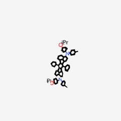 Cc1ccc(N(c2ccc(OC(C)C)cc2)c2ccc3c4c(-c5ccccc5)c5c6ccc(N(c7ccc(C)cc7)c7ccc(OC(C)C)cc7)c7cccc(c5c(-c5ccccc5)c4c4cccc2c43)c76)cc1